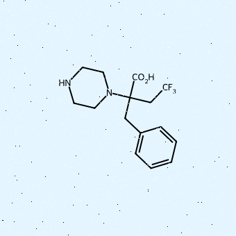 O=C(O)C(Cc1ccccc1)(CC(F)(F)F)N1CCNCC1